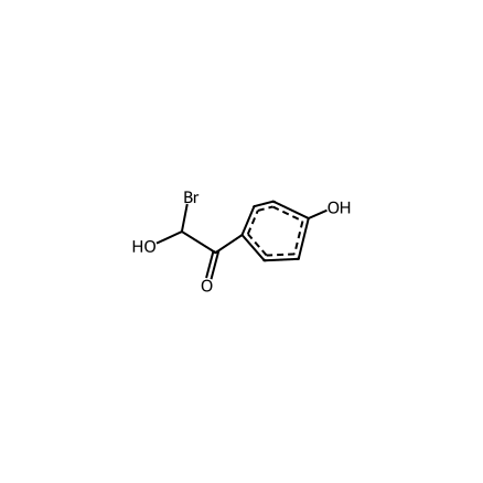 O=C(c1ccc(O)cc1)C(O)Br